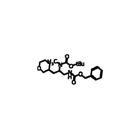 CN(C(=O)OC(C)(C)C)C(CNC(=O)OCc1ccccc1)CC1CCCOC1